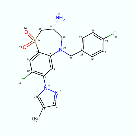 CC(C)(C)c1cnn(-c2cc3c(cc2F)S(=O)(=O)C[C@H](N)CN3Cc2ccc(Cl)cc2)c1